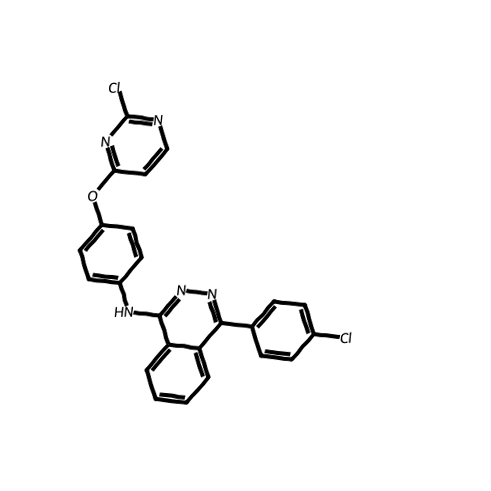 Clc1ccc(-c2nnc(Nc3ccc(Oc4ccnc(Cl)n4)cc3)c3ccccc23)cc1